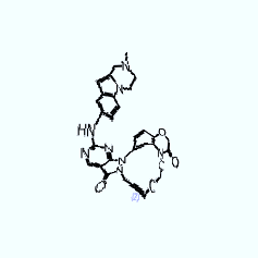 CN1CCn2c(cc3cc(Nc4ncc5c(=O)n6n(c5n4)-c4ccc5c(c4)N(CCC/C=C\C6)C(=O)CO5)ccc32)C1